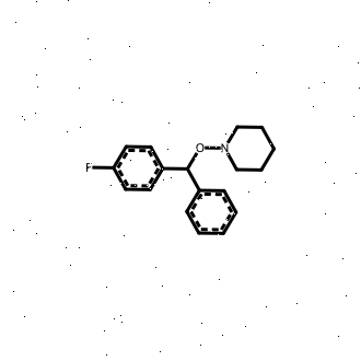 Fc1ccc(C(ON2CCCCC2)c2ccccc2)cc1